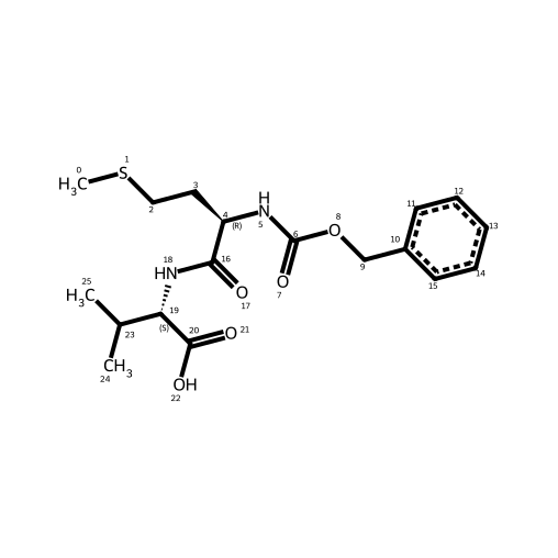 CSCC[C@@H](NC(=O)OCc1ccccc1)C(=O)N[C@H](C(=O)O)C(C)C